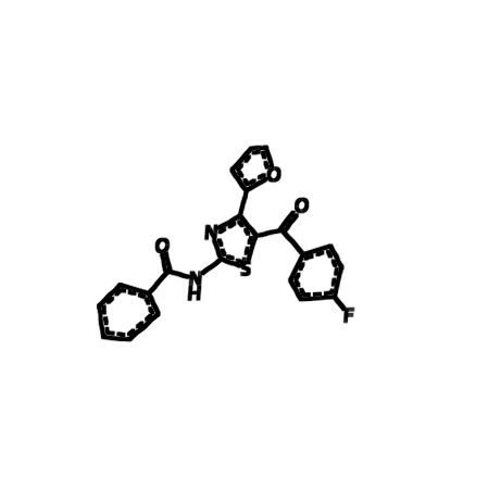 O=C(Nc1nc(-c2ccco2)c(C(=O)c2ccc(F)cc2)s1)c1ccccc1